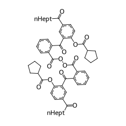 CCCCCCCC(=O)c1ccc(OC(=O)C2CCCC2)c(C(=O)c2ccccc2C(=O)OOC(=O)c2ccccc2C(=O)c2cc(C(=O)CCCCCCC)ccc2OC(=O)C2CCCC2)c1